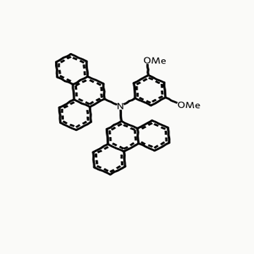 COc1cc(OC)cc(N(c2cc3ccccc3c3ccccc23)c2cc3ccccc3c3ccccc23)c1